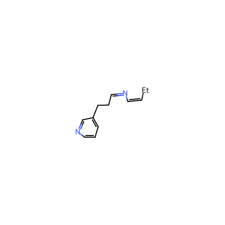 CC/C=C\N=C/CCc1cccnc1